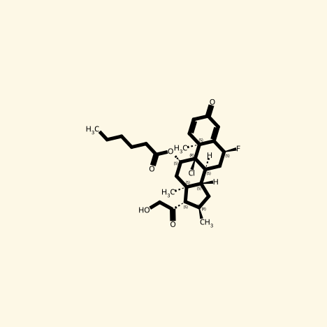 CCCCCC(=O)O[C@H]1C[C@@]2(C)[C@@H](C[C@@H](C)[C@@H]2C(=O)CO)[C@@H]2C[C@H](F)C3=CC(=O)C=C[C@]3(C)[C@@]12Cl